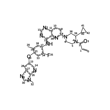 C=CC(=O)N1CCN(c2ccc3ncnc(Nc4cc(C)c(Oc5cnc6c(c5)ncn6C)cc4F)c3n2)CC1C1CC1